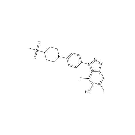 CS(=O)(=O)C1CCN(c2ccc(-n3ncc4cc(F)c(O)c(F)c43)cc2)CC1